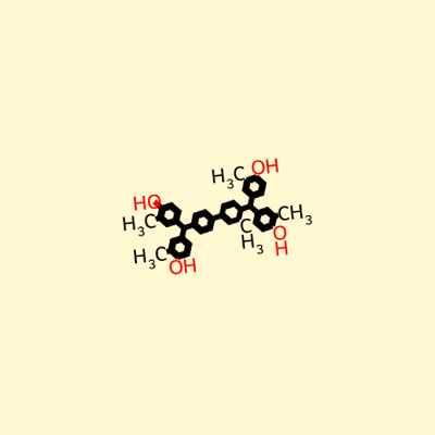 Cc1cc(C(c2ccc(C3=CC(C)C(C(c4ccc(O)c(C)c4)c4ccc(O)c(C)c4)C=C3)cc2)c2ccc(O)c(C)c2)ccc1O